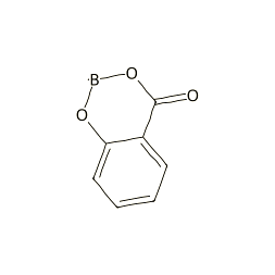 O=C1O[B]Oc2ccccc21